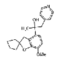 COc1ccc(C(C)(O)Cc2ccncc2)c2c1OC1(CCCC1)C2